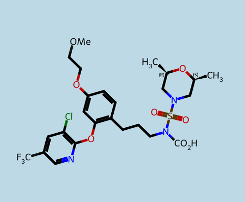 COCCOc1ccc(CCCN(C(=O)O)S(=O)(=O)N2C[C@@H](C)O[C@@H](C)C2)c(Oc2ncc(C(F)(F)F)cc2Cl)c1